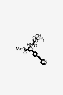 COC(=O)c1cc(NC(=O)C2COC(C)(C)O2)nc(-c2ccc(C#Cc3cccnc3)cc2)c1